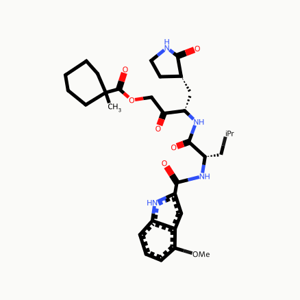 COc1cccc2[nH]c(C(=O)N[C@@H](CC(C)C)C(=O)N[C@@H](C[C@@H]3CCNC3=O)C(=O)COC(=O)C3(C)CCCCC3)cc12